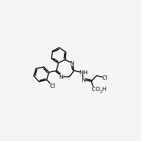 O=C(O)C(CCl)=NNC1=Nc2ccccc2C(c2ccccc2Cl)=NC1